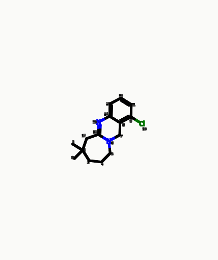 CC1(C)CCCN2Cc3c(Cl)cccc3N=C2C1